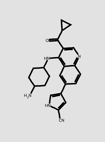 N#Cc1cc(-c2ccc3ncc(C(=O)C4CC4)c(NC4CCC(N)CC4)c3c2)c[nH]1